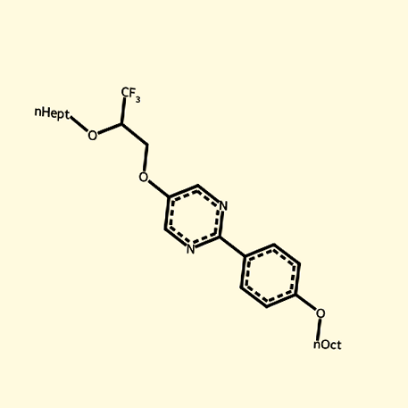 CCCCCCCCOc1ccc(-c2ncc(OCC(OCCCCCCC)C(F)(F)F)cn2)cc1